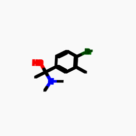 Cc1cc(C(C)(O)N(C)C)ccc1Br